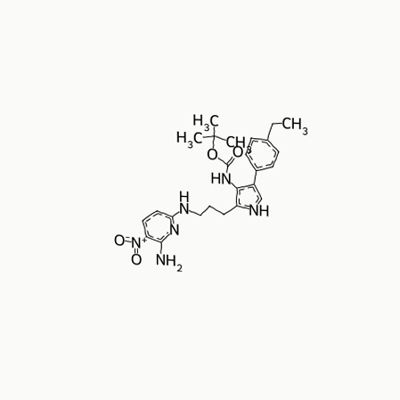 CCc1ccc(-c2c[nH]c(CCCNc3ccc([N+](=O)[O-])c(N)n3)c2NC(=O)OC(C)(C)C)cc1